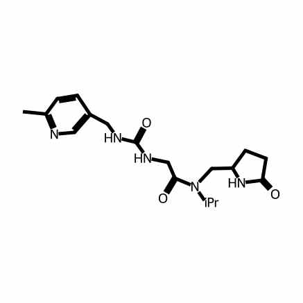 Cc1ccc(CNC(=O)NCC(=O)N(CC2CCC(=O)N2)C(C)C)cn1